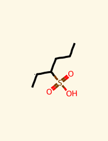 C[CH]C(CCC)S(=O)(=O)O